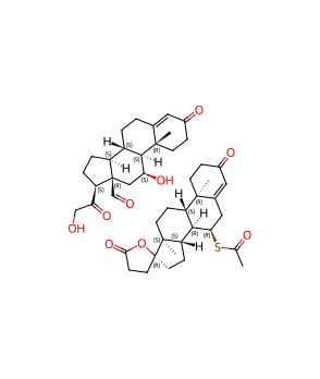 CC(=O)S[C@@H]1CC2=CC(=O)CC[C@]2(C)[C@H]2CC[C@@]3(C)[C@@H](CC[C@@]34CCC(=O)O4)[C@H]12.C[C@]12CCC(=O)C=C1CC[C@@H]1[C@@H]2[C@@H](O)C[C@]2(C=O)[C@@H](C(=O)CO)CC[C@@H]12